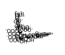 O=C([O-])CC(O)(CC(=O)[O-])C(=O)[O-].O=C([O-])CC(O)(CC(=O)[O-])C(=O)[O-].O=C([O-])CC(O)(CC(=O)[O-])C(=O)[O-].O=C([O-])[O-].O=C([O-])[O-].O=C([O-])[O-].O=[Si]([O-])[O-].O=[Si]([O-])[O-].O=[Si]([O-])[O-].[Fe+3].[Fe+3].[Fe+3].[Fe+3].[Fe+3].[Fe+3].[Fe+3]